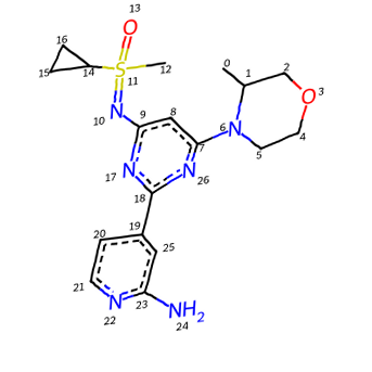 CC1COCCN1c1cc(N=S(C)(=O)C2CC2)nc(-c2ccnc(N)c2)n1